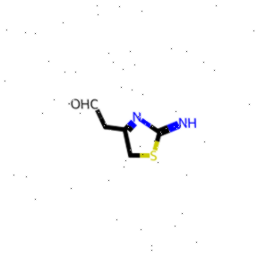 N=C1N=C(C[C]=O)CS1